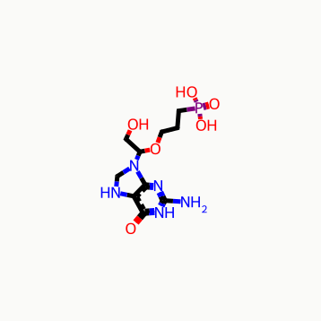 Nc1nc2c(c(=O)[nH]1)NCN2C(CO)OCCCP(=O)(O)O